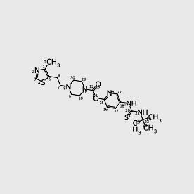 Cc1ncsc1CCN1CCN(C(=O)Oc2ccc(NC(=S)NC(C)(C)C)cn2)CC1